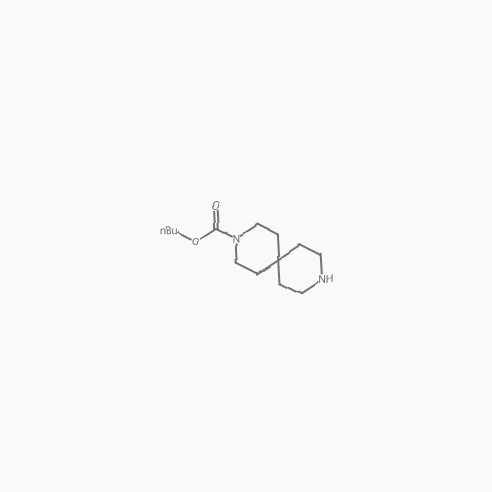 CCCCOC(=O)N1CCC2(CCNCC2)CC1